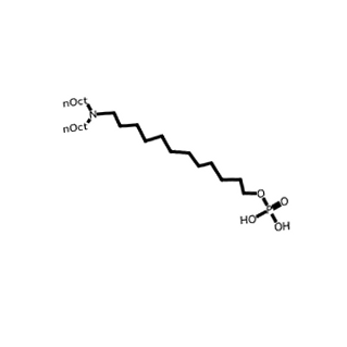 CCCCCCCCN(CCCCCCCC)CCCCCCCCCCCCOP(=O)(O)O